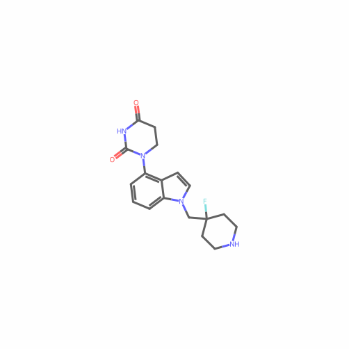 O=C1CCN(c2cccc3c2ccn3CC2(F)CCNCC2)C(=O)N1